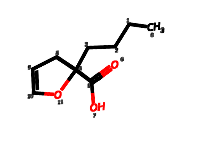 CCCCC1(C(=O)O)CC=CO1